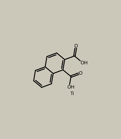 O=C(O)c1ccc2ccccc2c1C(=O)O.[Ti]